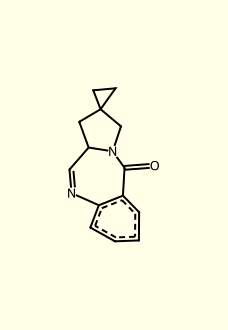 O=C1c2ccccc2N=CC2CC3(CC3)CN12